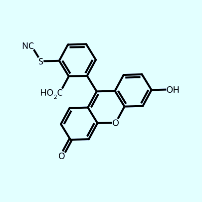 N#CSc1cccc(-c2c3ccc(=O)cc-3oc3cc(O)ccc23)c1C(=O)O